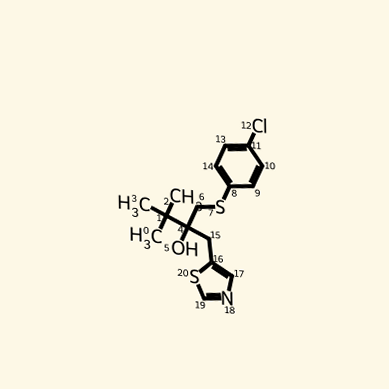 CC(C)(C)C(O)(CSc1ccc(Cl)cc1)Cc1cncs1